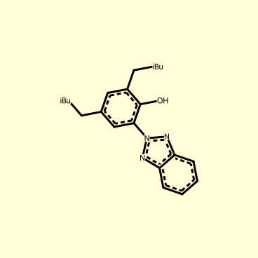 CCC(C)Cc1cc(CC(C)CC)c(O)c(-n2nc3ccccc3n2)c1